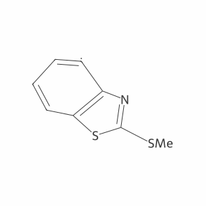 CSc1nc2[c]cccc2s1